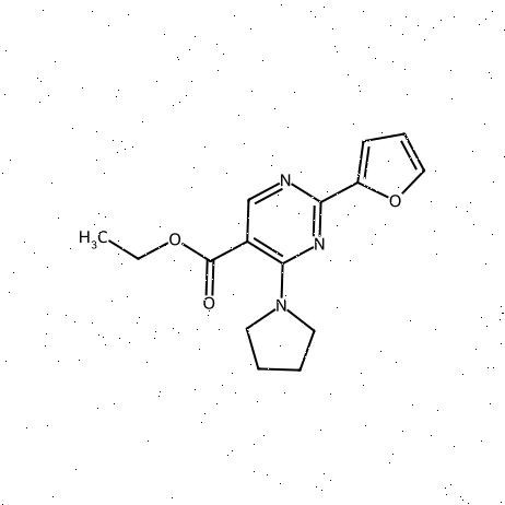 CCOC(=O)c1cnc(-c2ccco2)nc1N1CCCC1